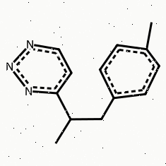 Cc1ccc(CC(C)c2ccnnn2)cc1